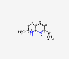 C=CC1=NC2NC(C)CCC2C=C1